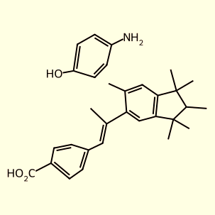 C/C(=C\c1ccc(C(=O)O)cc1)c1cc2c(cc1C)C(C)(C)C(C)C2(C)C.Nc1ccc(O)cc1